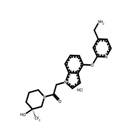 Cl.NCc1ccnc(Oc2cccc3c2ccn3CC(=O)N2CCC[C@@](O)(C(F)(F)F)C2)c1